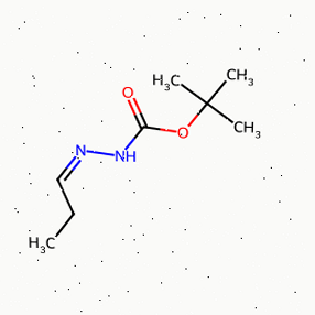 CC/C=N\NC(=O)OC(C)(C)C